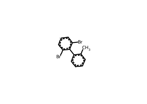 Cc1ccccc1-c1c(Br)c[c]cc1Br